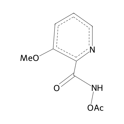 COc1cccnc1C(=O)NOC(C)=O